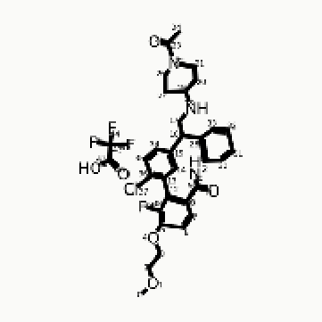 COCCOc1ccc(C(N)=O)c(-c2cc(C(CNC3CCN(C(C)=O)CC3)c3ccccc3)ccc2Cl)c1F.O=C(O)C(F)(F)F